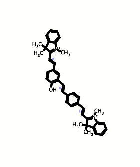 C[N+]1=C(/C=C/c2ccc(/C=C/c3cc(/C=C/C4=[N+](C)c5ccccc5C4(C)C)ccc3O)cc2)C(C)(C)c2ccccc21